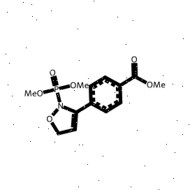 COC(=O)c1ccc(C2=CCON2P(=O)(OC)OC)cc1